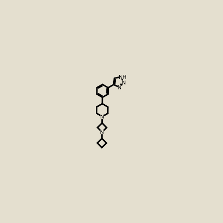 c1cc(-c2c[nH]nn2)cc(C2CCN(C3CN(C4CCC4)C3)CC2)c1